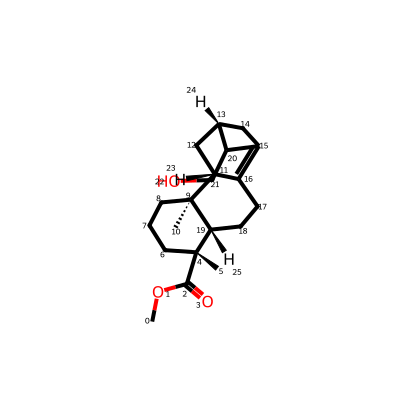 COC(=O)[C@]1(C)CCC[C@@]2(C)[C@@H]3C[C@@H]4CC(=C3CC[C@@H]21)C4CO